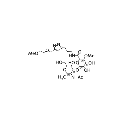 COCCOCc1cn(CCCNC(=O)C2O[C@@H](O[C@H]3C(O)C(CO)O[C@@H](C)C3NC(C)=O)C(O)[C@@H](O)[C@@H]2OC)nn1